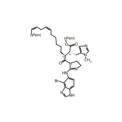 CCCCC/C=C\C/C=C\CCCCC[C@H](C(=O)N1CCN=C1Nc1ccc2[nH]cnc2c1Br)[C@@H](Cc1cncn1C)C(=O)OCCCCC